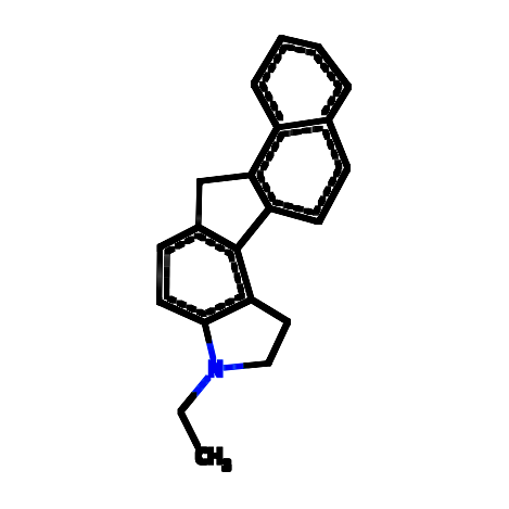 CCN1CCc2c1ccc1c2-c2ccc3ccccc3c2C1